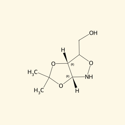 CC1(C)O[C@H]2NOC(CO)[C@H]2O1